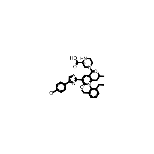 CCc1cccc(CC)c1-n1c(CC(C)C)c(C(=O)N2CCN[C@H](C(=O)O)C2)cc(-c2nc(-c3ccc(Cl)cc3)cs2)c1=O